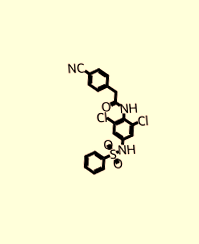 N#Cc1ccc(CC(=O)Nc2c(Cl)cc(NS(=O)(=O)c3ccccc3)cc2Cl)cc1